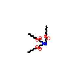 CCCCCCOC(=O)CCN(C)N(CCC(=O)OCCCCCC)CCC(=O)OCCCCCC